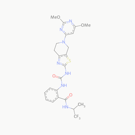 COc1cc(N2CCc3nc(NC(=O)Nc4ccccc4C(=O)NC(C)C(F)(F)F)sc3C2)nc(OC)n1